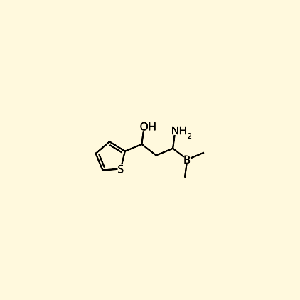 CB(C)C(N)CC(O)c1cccs1